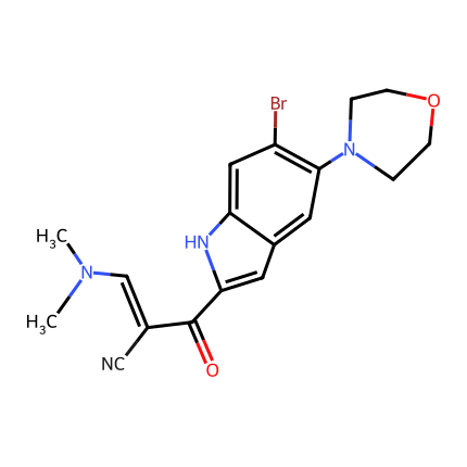 CN(C)C=C(C#N)C(=O)c1cc2cc(N3CCOCC3)c(Br)cc2[nH]1